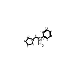 c1ccc([SiH2]CN2CCCC2)cc1